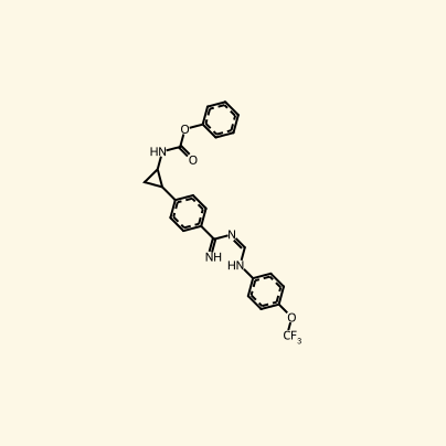 N=C(/N=C\Nc1ccc(OC(F)(F)F)cc1)c1ccc(C2CC2NC(=O)Oc2ccccc2)cc1